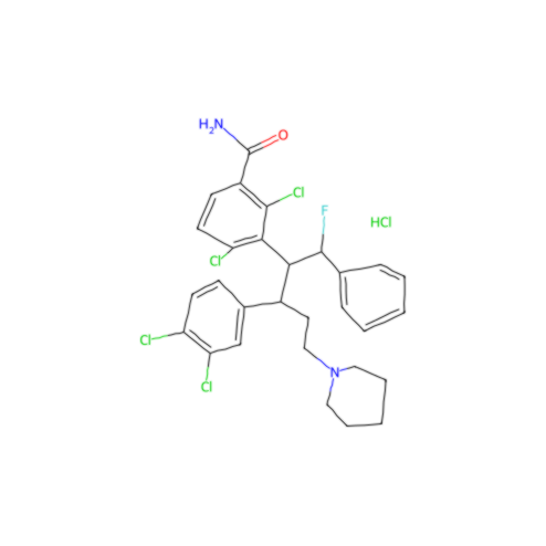 Cl.NC(=O)c1ccc(Cl)c(C(C(F)c2ccccc2)C(CCN2CCCCC2)c2ccc(Cl)c(Cl)c2)c1Cl